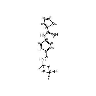 CC(CC(F)(F)F)NCc1ccc(NC(=N)c2cccs2)cc1